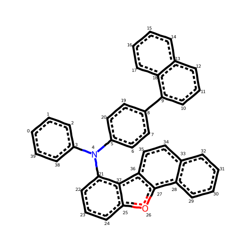 c1ccc(N(c2ccc(-c3cccc4ccccc34)cc2)c2cccc3oc4c5ccccc5ccc4c23)cc1